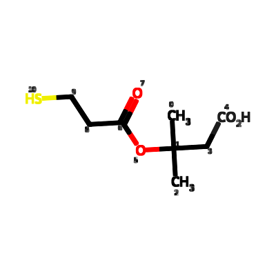 CC(C)(CC(=O)O)OC(=O)CCS